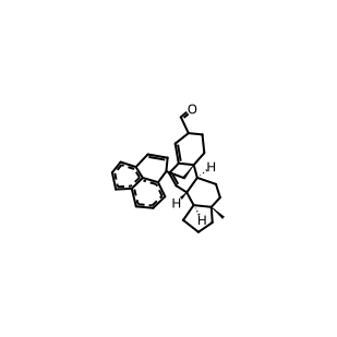 C[C@@]12CCC[C@H]1[C@@H]1C=CC3=CC(C=O)CC[C@]3(CC3C=Cc4cccc5cccc3c45)[C@H]1CC2